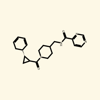 O=C(NCC1CCN(C(=O)C2C[C@@H]2C2C=CC=CC2)CC1)c1ccncn1